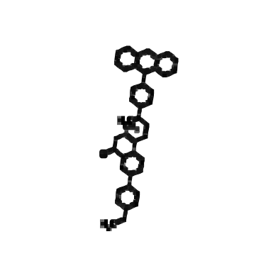 C=Cc1ccc(-c2ccc3c(c2)C(=O)CC(C)=C3/C=C\C(=C)c2ccc(-c3c4ccccc4cc4ccccc34)cc2)cc1